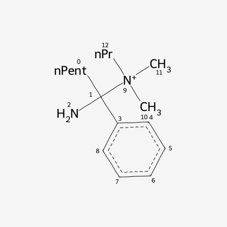 CCCCCC(N)(c1ccccc1)[N+](C)(C)CCC